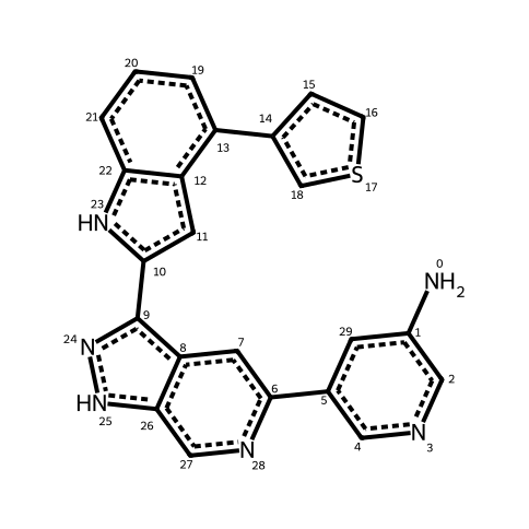 Nc1cncc(-c2cc3c(-c4cc5c(-c6ccsc6)cccc5[nH]4)n[nH]c3cn2)c1